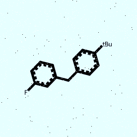 CC(C)(C)c1ccc(Cc2cccc(F)c2)cc1